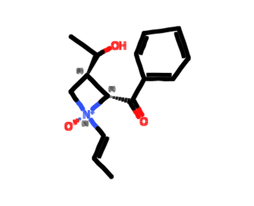 CC=C[N@@+]1([O-])C[C@@H](C(C)O)[C@@H]1C(=O)c1ccccc1